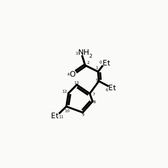 CCC(C(N)=O)=C(CC)c1ccc(CC)cc1